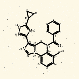 O=C(c1ccccc1)N1Cc2c(-c3noc(C4CC4)n3)ncn2-c2cccc(F)c21